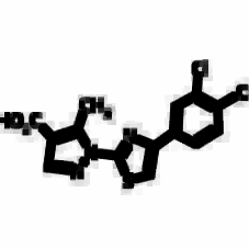 Cc1c(C(=O)O)cnn1-c1nc(-c2ccc(Cl)c(Cl)c2)cs1